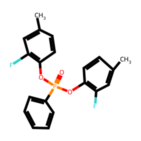 Cc1ccc(OP(=O)(Oc2ccc(C)cc2F)c2ccccc2)c(F)c1